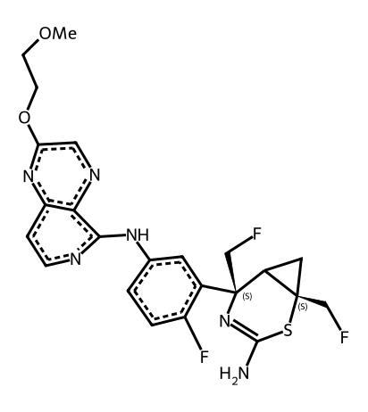 COCCOc1cnc2c(Nc3ccc(F)c([C@@]4(CF)N=C(N)S[C@@]5(CF)CC54)c3)nccc2n1